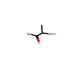 CCCCCC(C)C(=O)C(C)(C)C